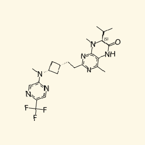 Cc1nc(CC[C@H]2C[C@@H](N(C)c3cnc(C(F)(F)F)cn3)C2)nc2c1NC(=O)[C@H](C(C)C)N2C